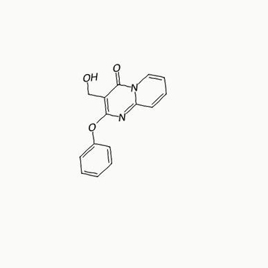 O=c1c(CO)c(Oc2ccccc2)nc2ccccn12